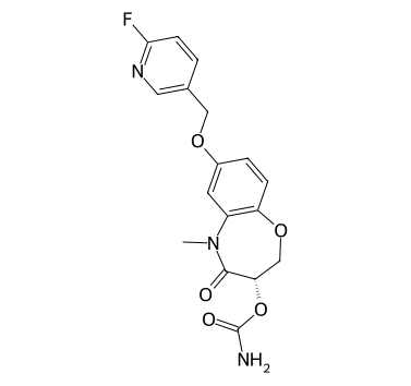 CN1C(=O)[C@@H](OC(N)=O)COc2ccc(OCc3ccc(F)nc3)cc21